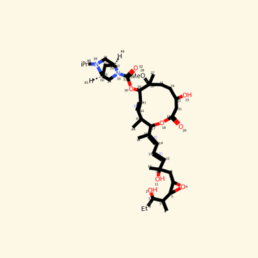 CCC(O)C(C)C1OC1CC(C)(O)/C=C/C=C(\C)C1OC(=O)CC(O)CCC(C)(OC)C(OC(=O)N2C[C@@H]3C[C@H]2CN3C(C)C)/C=C/C1C